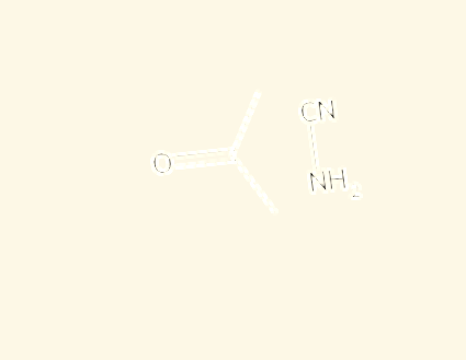 CC(C)=O.N#CN